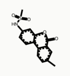 Cc1ccc2c(c1)c(=O)oc1cc(NS(C)(=O)=O)ccc12